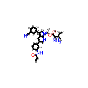 C=CC(=O)Nc1cccc(-c2cnc3c(c2)c(-c2cccc(C#N)c2)cn3[C@H](C)OC(=O)C(N)C(C)CC)c1